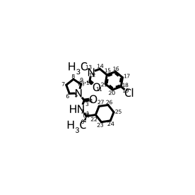 C[C@@H](NC(=O)N1CCC[C@@H]1C(=O)N(C)Cc1ccc(Cl)cc1)C1CCCCC1